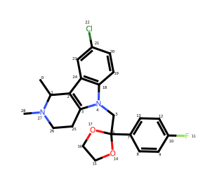 CC1c2c(n(CC3(c4ccc(F)cc4)OCCO3)c3ccc(Cl)cc23)CCN1C